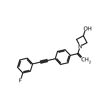 C=C(c1ccc(C#Cc2cccc(F)c2)cc1)N1CC(O)C1